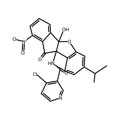 CC(C)c1ccc2c(c1)OC1(O)c3cccc([N+](=O)[O-])c3C(=O)C21NC(=O)c1cnccc1Cl